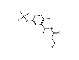 CC(NC(=O)OCCl)c1cc(OC(F)(F)F)ccc1F